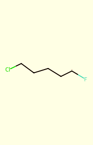 F[CH]CCCCCl